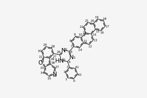 c1ccc(C2N=C(c3ccc4c(ccc5c6ccccc6ccc45)c3)N=C(c3cccc4oc5ccncc5c34)N2)cc1